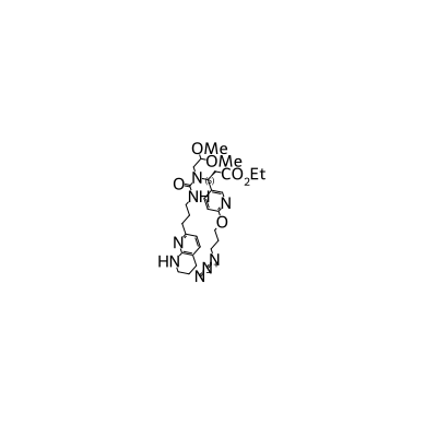 CCOC(=O)C[C@@H](c1ccc(OCCCN=[N+]=[N-])nc1)N(CC(OC)OC)C(=O)NCCCc1ccc2c(n1)NCCC2